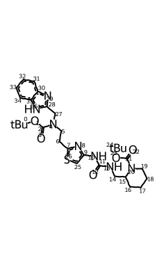 CC(C)(C)OC(=O)N(CCc1nc(NC(=O)NCC2CCCCN2C(=O)OC(C)(C)C)cs1)Cc1nc2ccccc2[nH]1